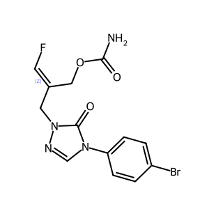 NC(=O)OC/C(=C\F)Cn1ncn(-c2ccc(Br)cc2)c1=O